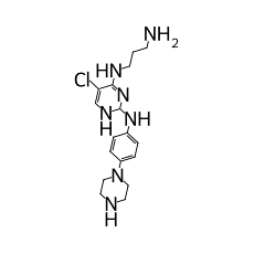 NCCCNC1=NC(Nc2ccc(N3CCNCC3)cc2)NC=C1Cl